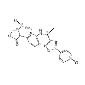 CC[C@@H](N)[C@H]1COC(=O)N1c1ccnc(N[C@@H](C)c2cc(-c3ccc(Cl)cc3)on2)n1